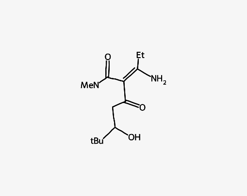 CCC(N)=C(C(=O)CC(O)C(C)(C)C)C(=O)NC